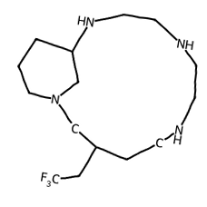 FC(F)(F)CC1CCNCCNCCNC2CCCN(C1)C2